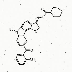 CCn1c2ccc(C(=O)c3ccccc3C)cc2c2c3c(ccc21)/C(=N/OC(=O)C1CCCCC1)CO3